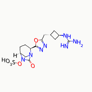 N=C(N)N[C@H]1C[C@H](Cc2nnc([C@@H]3CC[C@H]4CN3C(=O)N4OS(=O)(=O)O)o2)C1